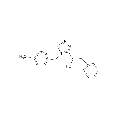 Cc1ccc(Cn2cncc2C(O)Cc2ccccc2)cc1